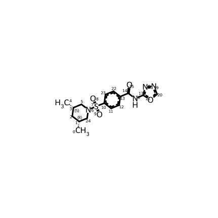 C[C@@H]1C[C@H](C)CN(S(=O)(=O)c2ccc(C(=O)Nc3nnco3)cc2)C1